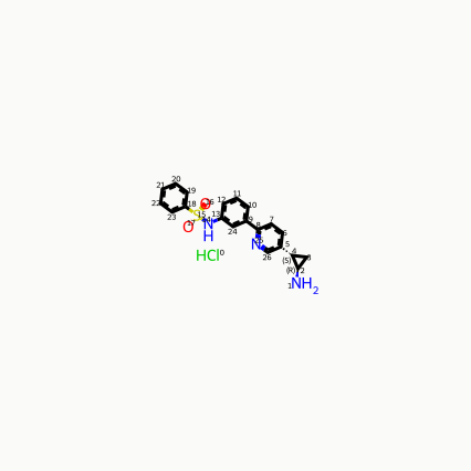 Cl.N[C@@H]1C[C@H]1c1ccc(-c2cccc(NS(=O)(=O)c3ccccc3)c2)nc1